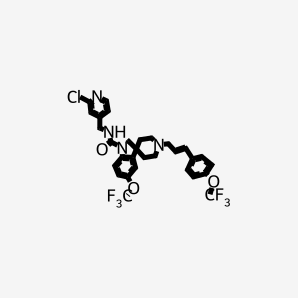 O=C(NCc1ccnc(Cl)c1)N1CC2(CCN(CC=Cc3ccc(OC(F)(F)F)cc3)CC2)c2cc(OC(F)(F)F)ccc21